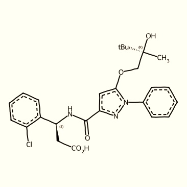 CC(C)(C)[C@@](C)(O)COc1cc(C(=O)N[C@@H](CC(=O)O)c2ccccc2Cl)nn1-c1ccccc1